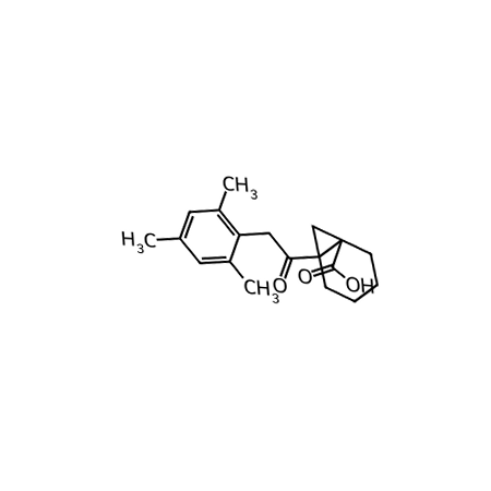 Cc1cc(C)c(CC(=O)C23CCCCC2(C(=O)O)C3)c(C)c1